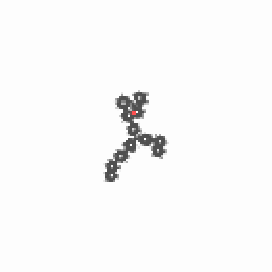 c1ccc(-n2c3ccccc3c3ccccc32)c(-c2ccc(-c3ccc(N(c4ccc(-c5ccc(-c6ccc7ccccc7c6)cc5)cc4)c4ccc(-c5cccc6ccccc56)cc4)cc3)cc2)c1